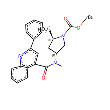 CN(C(=O)c1cc(-c2ccccc2)nc2ccccc12)[C@@H]1C[C@@H](C(=O)O)N(C(=O)OC(C)(C)C)C1